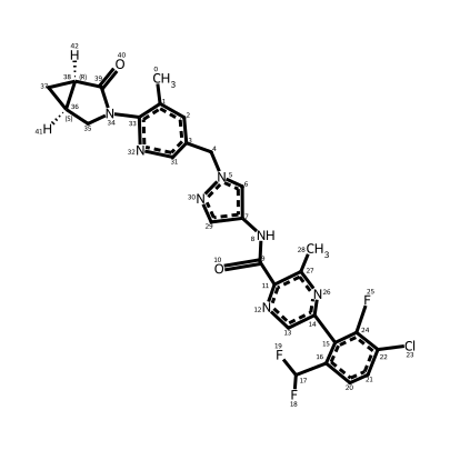 Cc1cc(Cn2cc(NC(=O)c3ncc(-c4c(C(F)F)ccc(Cl)c4F)nc3C)cn2)cnc1N1C[C@H]2C[C@H]2C1=O